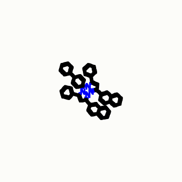 C1=CC(n2nc(-c3ccc4ccccc4c3)cc2-c2ccccc2)(n2nc(-c3ccc4ccccc4c3)cc2-c2ccccc2)C=CC1c1ccccc1